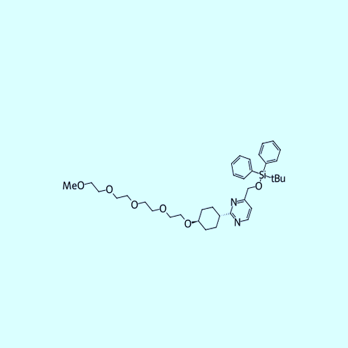 COCCOCCOCCOCCO[C@H]1CC[C@H](c2nccc(CO[Si](c3ccccc3)(c3ccccc3)C(C)(C)C)n2)CC1